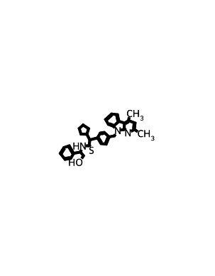 Cc1cc(C)c2c3ccccc3n(Cc3ccc(C(C(=S)NC(CO)c4ccccc4)C4CCCC4)cc3)c2n1